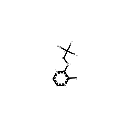 Cc1nccnc1OCC(F)(F)F